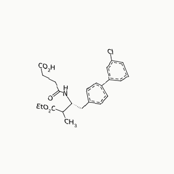 CCOC(=O)C(C)[C@@H](Cc1ccc(-c2cccc(Cl)c2)cc1)NC(=O)CCC(=O)O